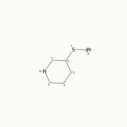 CC(C)SC1CCC[N]C1